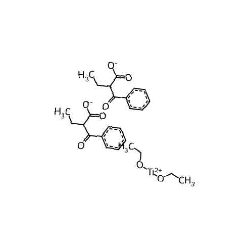 CCC(C(=O)[O-])C(=O)c1ccccc1.CCC(C(=O)[O-])C(=O)c1ccccc1.CC[O][Ti+2][O]CC